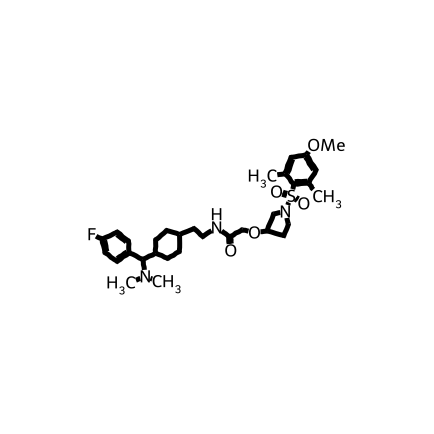 COc1cc(C)c(S(=O)(=O)N2CCC(OCC(=O)NCCC3CCC(C(c4ccc(F)cc4)N(C)C)CC3)C2)c(C)c1